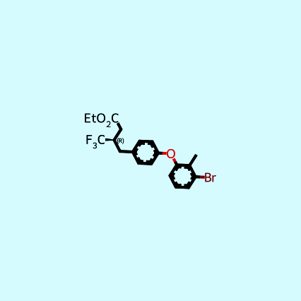 CCOC(=O)C[C@@H](Cc1ccc(Oc2cccc(Br)c2C)cc1)C(F)(F)F